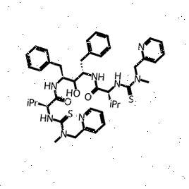 CC(C)[C@H](NC(=S)N(C)Cc1ccccn1)C(=O)N[C@@H](Cc1ccccc1)C(O)[C@H](Cc1ccccc1)NC(=O)[C@@H](NC(=S)N(C)Cc1ccccn1)C(C)C